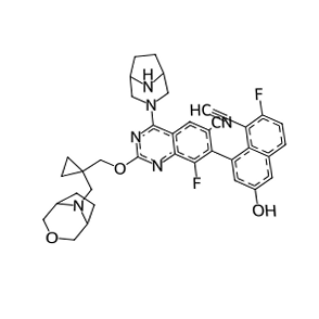 C#Cc1c(F)ccc2cc(O)cc(-c3c(C#N)cc4c(N5CC6CCC(C5)N6)nc(OCC5(CN6C7CCC6COC7)CC5)nc4c3F)c12